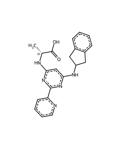 C[C@@H](Nc1cc(NC2Cc3ccccc3C2)nc(-c2ccccn2)n1)C(=O)O